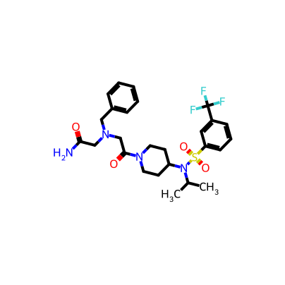 CC(C)N(C1CCN(C(=O)CN(CC(N)=O)Cc2ccccc2)CC1)S(=O)(=O)c1cccc(C(F)(F)F)c1